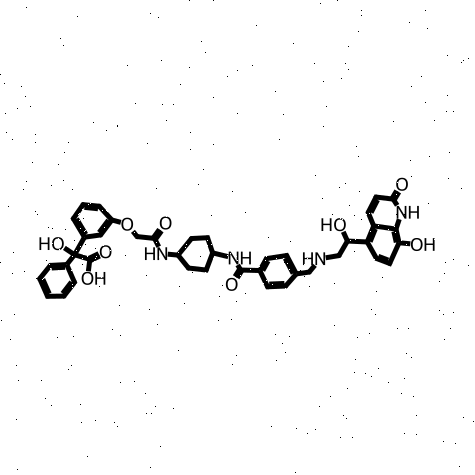 O=C(COc1cccc(C(O)(C(=O)O)c2ccccc2)c1)NC1CCC(NC(=O)c2ccc(CNCC(O)c3ccc(O)c4[nH]c(=O)ccc34)cc2)CC1